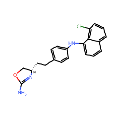 NC1=N[C@@H](CCc2ccc(Nc3cccc4cccc(Cl)c34)cc2)CO1